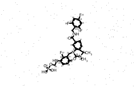 C[C@H]1c2ccc(C(=O)NCc3c(F)cc(F)cc3F)cc2N(Cc2c(F)ccc(NCOP(=O)(O)O)c2F)C(=O)N1C